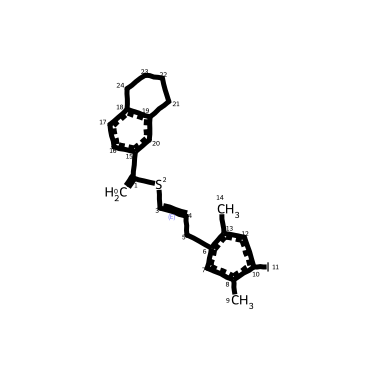 C=C(S/C=C/Cc1cc(C)c(I)cc1C)c1ccc2c(c1)CCCC2